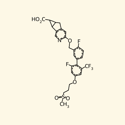 CS(=O)(=O)CCCOc1cc(F)c(-c2ccc(F)c(COc3cc4c(cn3)C3C(C4)C3C(=O)O)c2)c(C(F)(F)F)c1